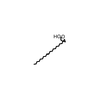 CCCCCCCCC=CCCCCCCCCC1(CC(=O)O)CC1